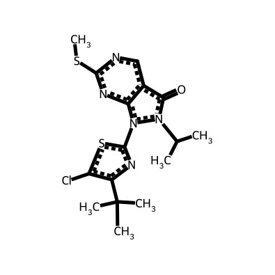 CSc1ncc2c(=O)n(C(C)C)n(-c3nc(C(C)(C)C)c(Cl)s3)c2n1